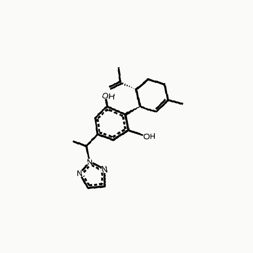 C=C(C)[C@@H]1CCC(C)=C[C@H]1c1c(O)cc(C(C)n2nccn2)cc1O